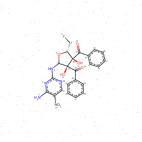 Nc1nc(NC2O[C@H](CF)[C@](O)(C(=O)c3ccccc3)[C@]2(O)C(=O)c2ccccc2)ncc1[N+](=O)[O-]